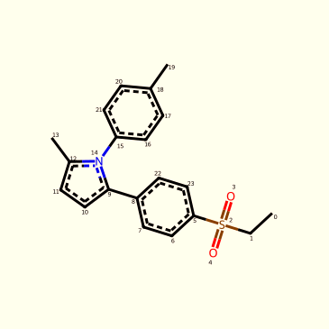 CCS(=O)(=O)c1ccc(-c2ccc(C)n2-c2ccc(C)cc2)cc1